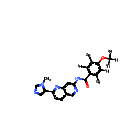 [2H]c1c([2H])c(C(=O)Nc2cc3nc(-c4cncn4C)ccc3cn2)c([2H])c([2H])c1OC([2H])([2H])[2H]